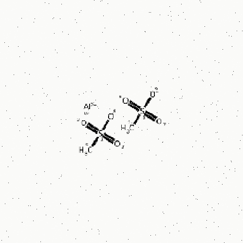 CS(=O)(=O)[O-].CS(=O)(=O)[O-].[Al+2]